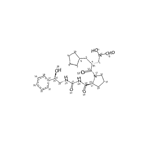 O=CN(O)C[C@@H](CC1CCCC1)C(=O)N1CCC[C@H]1C(=O)NC(=O)NC[C@H](O)c1ccccc1